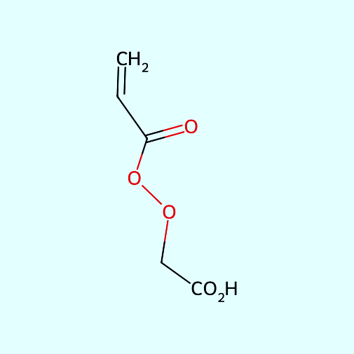 C=CC(=O)OOCC(=O)O